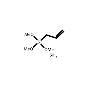 C=CC[Si](OC)(OC)OC.[SiH4]